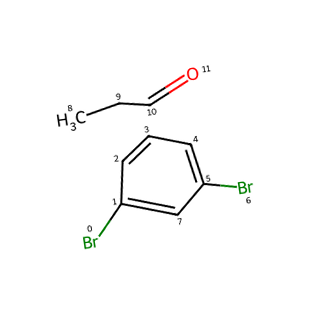 Brc1cccc(Br)c1.CCC=O